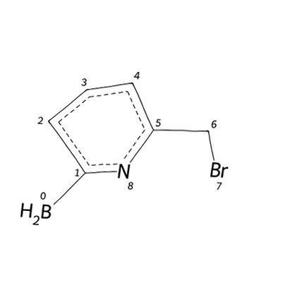 Bc1cccc(CBr)n1